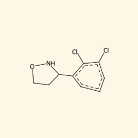 Clc1cccc(C2CCON2)c1Cl